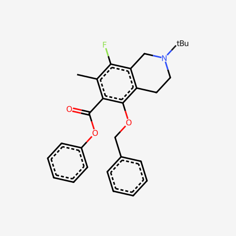 Cc1c(F)c2c(c(OCc3ccccc3)c1C(=O)Oc1ccccc1)CCN(C(C)(C)C)C2